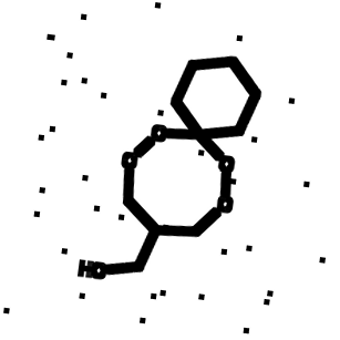 OCC1COOC2(CCCCC2)OOC1